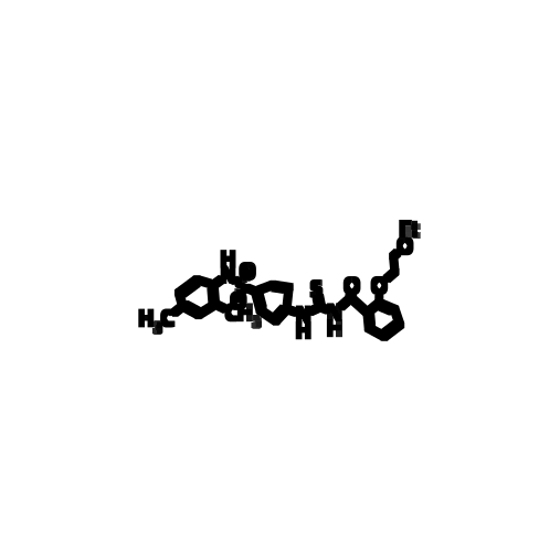 CCOCCOc1ccccc1C(=O)NC(=S)Nc1ccc(S(=O)(=O)Nc2ccc(C)cc2C)cc1